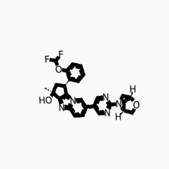 C[C@]1(O)C[C@H](c2ccccc2OC(F)F)c2c1nc1ccc(-c3cnc(N4C[C@@H]5C[C@H]4CO5)nc3)cn21